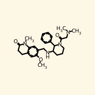 COc1cc2c(cc1CNC1CCCN(C(=O)CN(C)C)C1c1ccccc1)N(C)C(=O)CC2